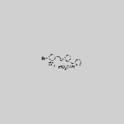 O=C(O)N[C@@H](c1ccccc1)c1cccc(OCc2ccc(Br)c(C(F)(F)F)c2)c1